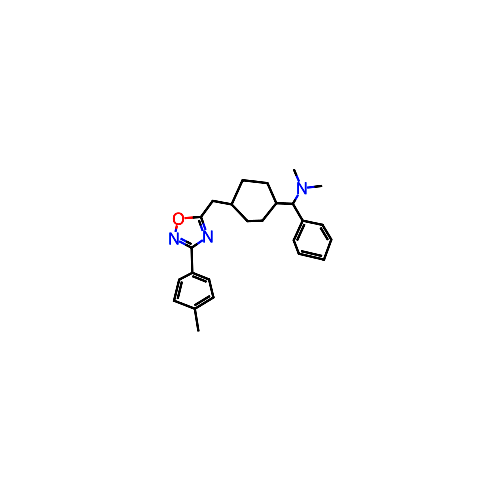 Cc1ccc(-c2noc(CC3CCC(C(c4ccccc4)N(C)C)CC3)n2)cc1